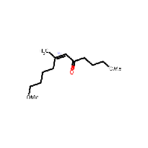 COCCCC/C(C)=C\C(=O)CCCOC